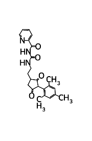 Cc1cc(C)c(C2C(=O)CC(CCNC(=O)NC(=O)c3ccccn3)C2=O)c(C)c1